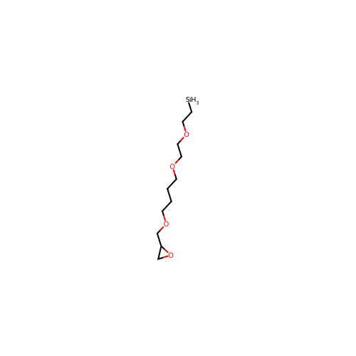 [SiH3]CCOCCOCCCCOCC1CO1